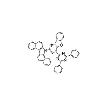 c1ccc(-c2nc(-c3ccccc3)nc(-c3nc(-n4c5ccc6ccccc6c5c5ccc6ccccc6c54)nc4c3oc3ccccc34)n2)cc1